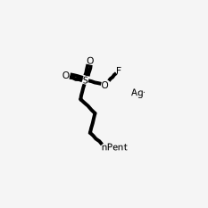 CCCCCCCCS(=O)(=O)OF.[Ag]